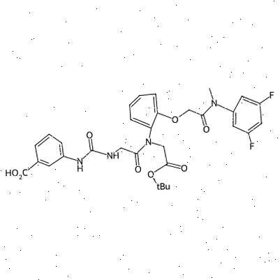 CN(C(=O)COc1ccccc1N(CC(=O)OC(C)(C)C)C(=O)CNC(=O)Nc1cccc(C(=O)O)c1)c1cc(F)cc(F)c1